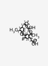 CCc1cc(C[C@@H]2CCCN2C[C@@H](O)CO[C@H](C)c2cc(F)c(F)cc2CCC(=O)O)ccc1Cl